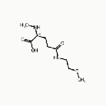 CN[C@@H](CCC(=O)NCCOC)C(=O)O